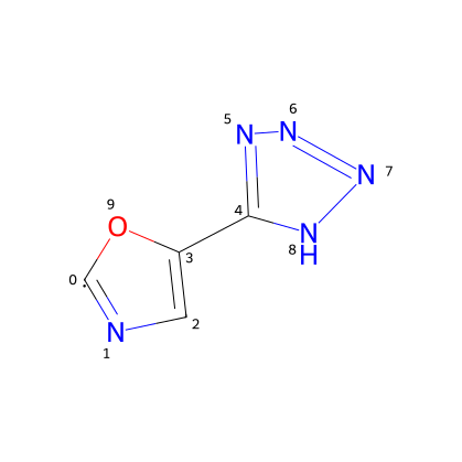 [c]1ncc(-c2nnn[nH]2)o1